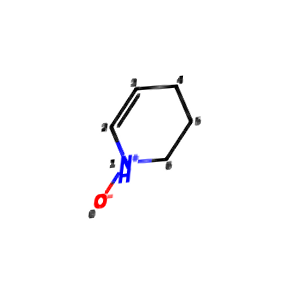 [O-][NH+]1C=CCCC1